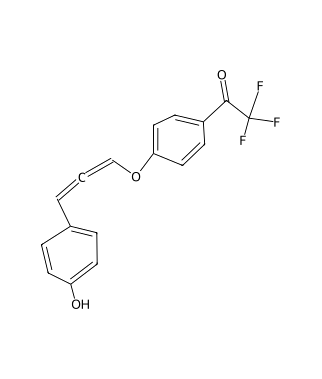 O=C(c1ccc(OC=C=Cc2ccc(O)cc2)cc1)C(F)(F)F